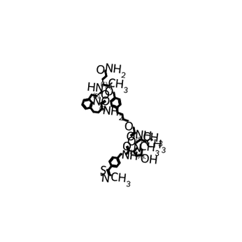 Cc1ncsc1-c1ccc(CNC(=O)[C@@H]2C[C@@H](O)CN2C(=O)[C@@H](NC(=O)COCCCCc2ccc(CO[C@H](C)[C@H](CCC(N)=O)NC(=O)[C@@H]3Cc4cccc5c4N3C(=O)[C@@H](N)CC5)cc2)C(C)(C)C)cc1